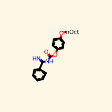 CCCCCCCCOc1ccc(OC(=O)NC(=N)c2cc[c]cc2)cc1